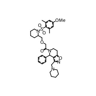 COc1cc(C)c(S(=O)(=O)N2CCCCC2COCC(=O)N2CCc3onc(CN4CCCCC4)c3C2c2ccccc2)c(C)c1